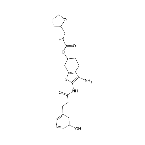 Nc1c(NC(=O)CCC2=CC=CC(O)C2)sc2c1CCC(OC(=O)NCC1CCCO1)C2